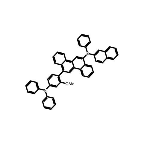 COc1cc(N(c2ccccc2)c2ccccc2)ccc1-c1cc2c3ccccc3c(B(c3ccccc3)c3ccc4ccccc4c3)cc2c2ccccc12